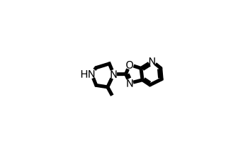 CC1CNCCN1c1nc2cccnc2o1